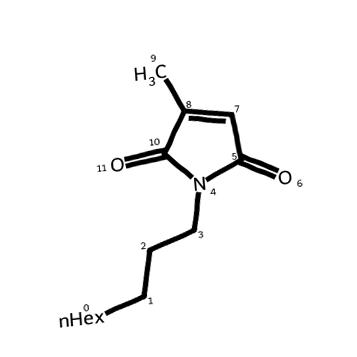 CCCCCCCCCN1C(=O)C=C(C)C1=O